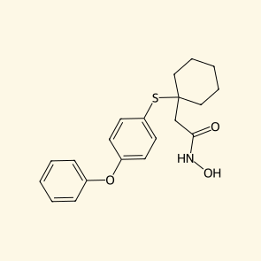 O=C(CC1(Sc2ccc(Oc3ccccc3)cc2)CCCCC1)NO